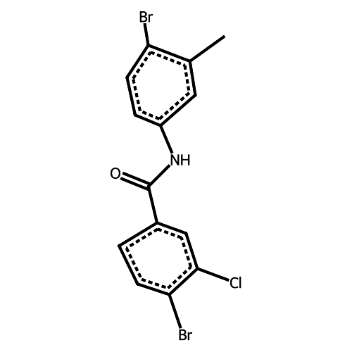 Cc1cc(NC(=O)c2ccc(Br)c(Cl)c2)ccc1Br